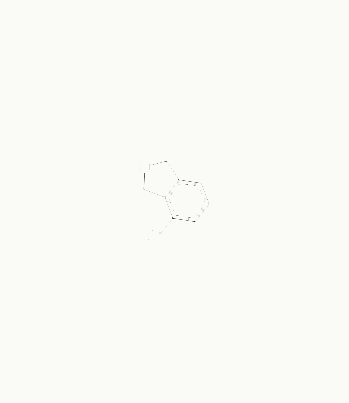 Clc1cccc2c1CO[CH]2